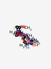 COCOc1cc(-c2ncc3c(N4CC5CCC(C4)N5C(=O)OC(C)(C)C)nc(OCC4(CN(C)CCC(=O)N[C@H](C(=O)N5C[C@H](O)C[C@H]5C(=O)N[C@@H](C)c5ccc(-c6scnc6C)cc5)C(C)(C)C)CC4)nc3c2F)c2c(C#C[Si](C)(C)C)c(F)ccc2c1